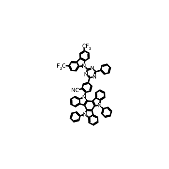 N#Cc1cc(-c2nc(-c3ccccc3)nc(-n3c4ccc(C(F)(F)F)cc4c4cc(C(F)(F)F)ccc43)n2)ccc1-n1c2ccccc2c2c3c(c4ccccc4n3-c3ccccc3)c3c(c4ccccc4n3-c3ccccc3)c21